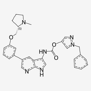 CN1CCC[C@H]1COc1cccc(-c2cnc3[nH]cc(NC(=O)Oc4cnn(Cc5ccccc5)c4)c3c2)c1